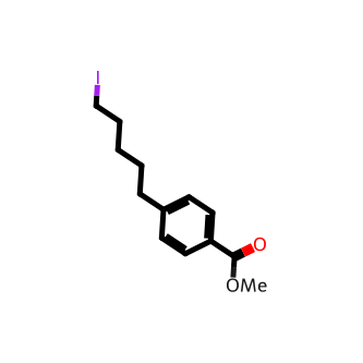 COC(=O)c1ccc(CCCCCI)cc1